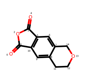 O=C1OC(=O)c2cc3c(cc21)CCOC3